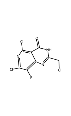 O=c1[nH]c(CCl)nc2c(F)c(Cl)nc(Cl)c12